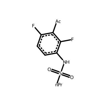 CCCS(=O)(=O)Nc1ccc(F)c(C(C)=O)c1F